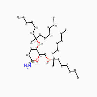 CCCCCCC(C)(CCCCCC)OCC1OC(N)CCC1OC(C)(CCCCCC)CCCCCC